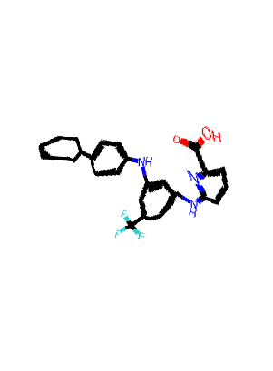 O=C(O)c1cccc(Nc2cc(Nc3ccc(C4CCCCC4)cc3)cc(C(F)(F)F)c2)n1